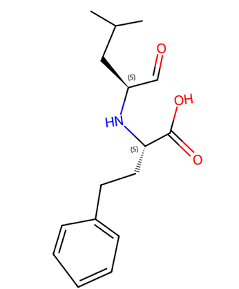 CC(C)C[C@@H](C=O)N[C@@H](CCc1ccccc1)C(=O)O